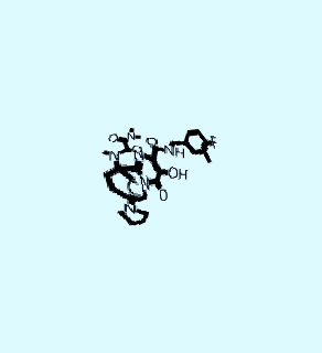 Cc1cc(CNC(=O)c2nc3n(c(=O)c2O)CC2(N4CCCC4)CCC3(N(C)C(=O)C(=O)N(C)C)CC2)ccc1F